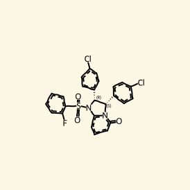 O=c1cccc2n1[C@@H](c1ccc(Cl)cc1)[C@@H](c1ccc(Cl)cc1)N2S(=O)(=O)c1ccccc1F